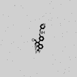 O=Cc1cnc2c(C(F)(F)F)cccc2c1-c1cccc(CNCc2ccncc2)c1